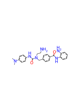 CN(C)c1ccc(NC(=O)N(CCN)Cc2ccc(C(=O)Nc3ccccc3N)cc2)cc1